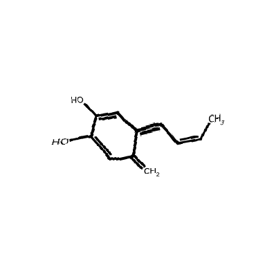 C=c1cc(O)c(O)c/c1=C/C=C\C